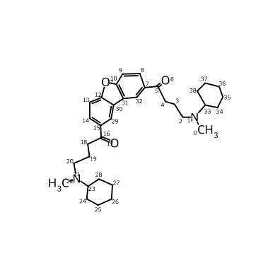 CN(CCCC(=O)c1ccc2oc3ccc(C(=O)CCCN(C)C4CCCCC4)cc3c2c1)C1CCCCC1